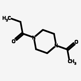 CCC(=O)N1CCN(C(C)=O)CC1